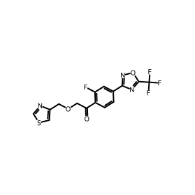 O=C(COCc1cscn1)c1ccc(-c2noc(C(F)(F)F)n2)cc1F